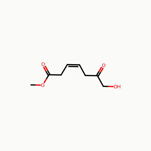 COC(=O)C/C=C\CC(=O)CO